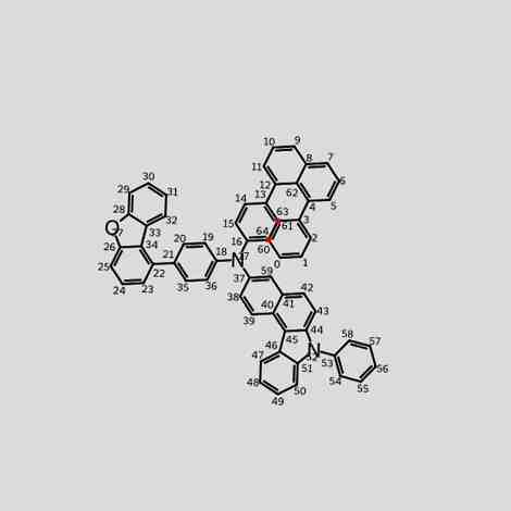 c1ccc(-c2cccc3cccc(-c4ccc(N(c5ccc(-c6cccc7oc8ccccc8c67)cc5)c5ccc6c(ccc7c6c6ccccc6n7-c6ccccc6)c5)cc4)c23)cc1